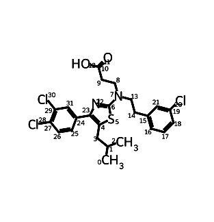 CC(C)Cc1sc(N(CCC(=O)O)CCc2cccc(Cl)c2)nc1-c1ccc(Cl)c(Cl)c1